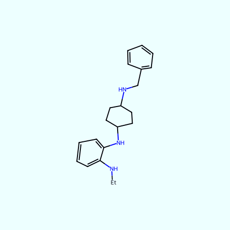 CCNc1ccccc1NC1CCC(NCc2ccccc2)CC1